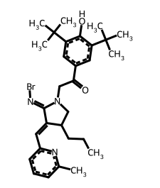 CCCC1CN(CC(=O)c2cc(C(C)(C)C)c(O)c(C(C)(C)C)c2)C(=N\Br)/C1=C/c1cccc(C)n1